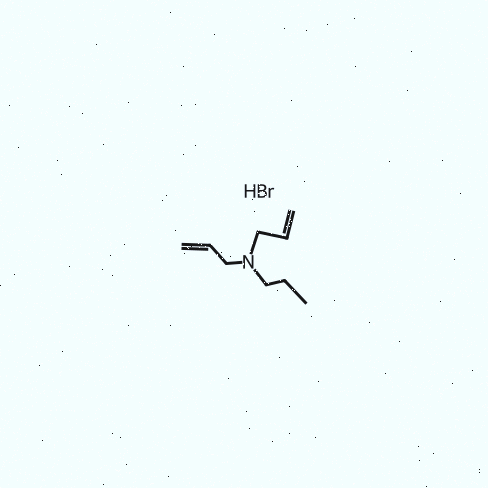 Br.C=CCN(CC=C)CCC